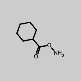 NOC(=O)C1CCCCC1